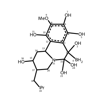 BC1(O)c2c(O)c(O)c(OC)c(O)c2C2CC(O)C(CC(C)C)CN2C1(O)O